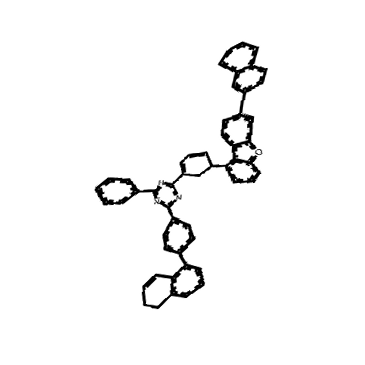 C1=CC(c2cccc3oc4cc(-c5ccc6ccccc6c5)ccc4c23)CC(c2nc(-c3ccccc3)nc(-c3ccc(-c4cccc5c4C=CCC5)cc3)n2)=C1